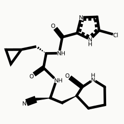 N#C[C@H](C[C@@H]1CCCNC1=O)NC(=O)[C@H](CC1CC1)NC(=O)c1ncc(Cl)[nH]1